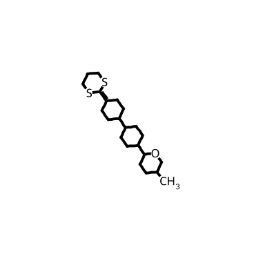 CC1CCC(C2CCC(C3CCC(=C4SCCCS4)CC3)CC2)OC1